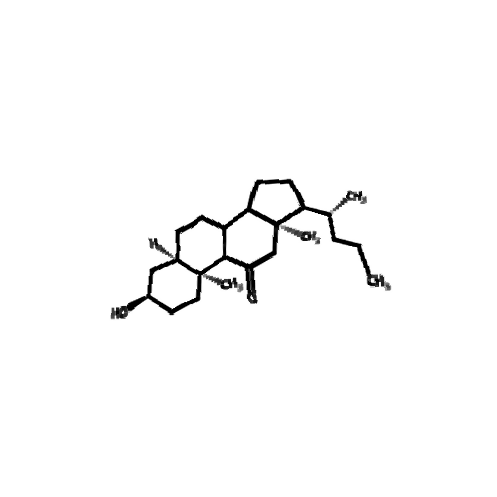 CCC[C@@H](C)C1CCC2C3CC[C@@H]4C[C@H](O)CC[C@]4(C)C3C(=O)C[C@@]21C